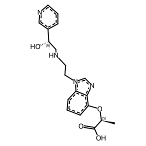 C[C@H](Oc1cccc2c1ncn2CCNC[C@H](O)c1cccnc1)C(=O)O